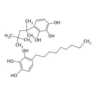 CC(C)(C)CC(C)(C)c1ccc(O)c(O)c1O.CCCCCCCCCc1ccc(O)c(O)c1O